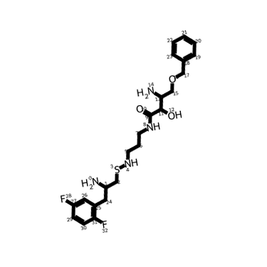 NC(CSNCCCNC(=O)C(O)C(N)COCc1ccccc1)Cc1cc(F)ccc1F